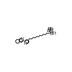 CCO[Si](CCCCCCCCCCCCc1ccnc(-c2cc3c(cn2)CCCC3)c1)(OCC)OCC